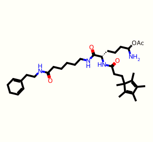 CC(=O)OC(N)CCC[C@H](NC(=O)CCC1(C)C(C)=C(C)C(C)=C1C)C(=O)NCCCCCC(=O)NCCC1=CCCC=C1